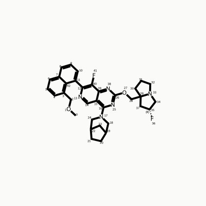 COCc1cccc2cccc(-c3ncc4c(N5CC6CCC(C6)C5)nc(OCC56CCCN5C[C@H](F)C6)nc4c3F)c12